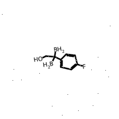 BC(B)(CO)c1ccc(F)cc1